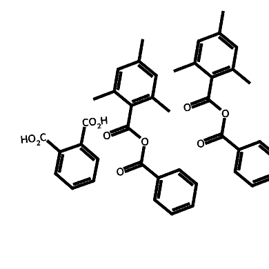 Cc1cc(C)c(C(=O)OC(=O)c2ccccc2)c(C)c1.Cc1cc(C)c(C(=O)OC(=O)c2ccccc2)c(C)c1.O=C(O)c1ccccc1C(=O)O